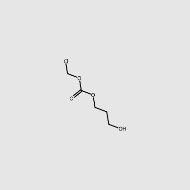 O=C(OCCl)OCCCO